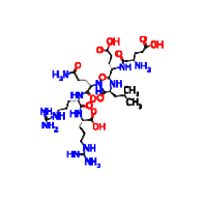 CC(C)C[C@H](NC(=O)[C@H](CCC(=O)O)NC(=O)[C@@H](N)CCC(=O)O)C(=O)N[C@@H](CCC(N)=O)C(=O)N[C@@H](CCCNC(=N)N)C(=O)N[C@@H](CCCNC(=N)N)C(=O)O